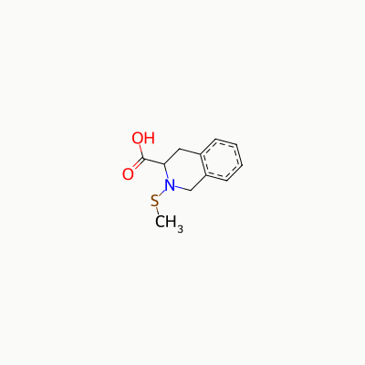 CSN1Cc2ccccc2CC1C(=O)O